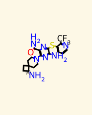 NC(=O)c1nc(Sc2cccnc2C(F)(F)F)c(N)nc1N1CCC2(CC[C@H]2N)CC1